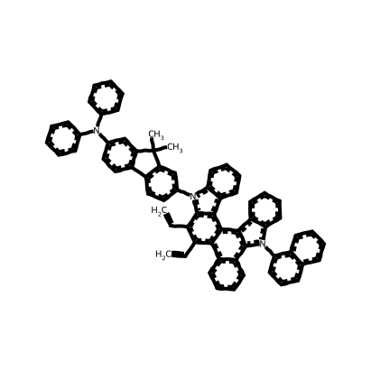 C=Cc1c(C=C)c2c(c3ccccc3n2-c2ccc3c(c2)C(C)(C)c2cc(N(c4ccccc4)c4ccccc4)ccc2-3)c2c1c1ccccc1c1c2c2ccccc2n1-c1cccc2ccccc12